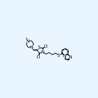 CN1CCN(C=C2SC(=O)N(CCCCSc3cccc4nccn34)C2=O)CC1